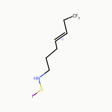 FC(F)(F)C/C=C/CCCNSI